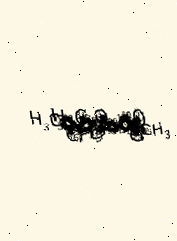 Cc1ccc(-c2ccc(N3C(=O)c4ccc(-c5ccc6c(c5)C(=O)N(C)C6=O)cc4C3=O)cc2C)c(C)c1